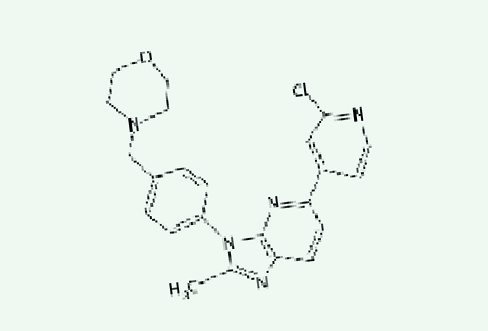 Cc1nc2ccc(-c3ccnc(Cl)c3)nc2n1-c1ccc(CN2CCOCC2)cc1